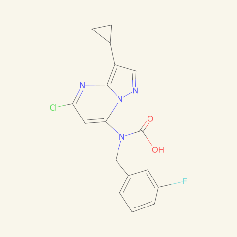 O=C(O)N(Cc1cccc(F)c1)c1cc(Cl)nc2c(C3CC3)cnn12